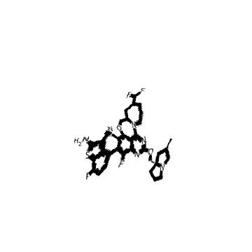 C[C@H]1CN2CCC[C@@]2(COc2nc3c4c(c(Cl)c(-c5ccc(F)c6sc(N)c(C#N)c56)c(F)c4n2)OCC2CC(C(F)F)CCCN32)C1